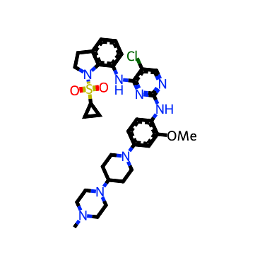 COc1cc(N2CCC(N3CCN(C)CC3)CC2)ccc1Nc1ncc(Cl)c(Nc2cccc3c2N(S(=O)(=O)C2CC2)CC3)n1